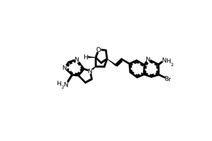 Nc1nc2cc(/C=C/[C@]34CO[C@H](C3)[C@H](N3CCc5c(N)ncnc53)C4)ccc2cc1Br